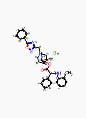 Cc1ccccc1NC(C(=O)O[C@H]1C[N+]2(Cc3noc(-c4ccccc4)n3)CCC1CC2)c1ccccc1.[Cl-]